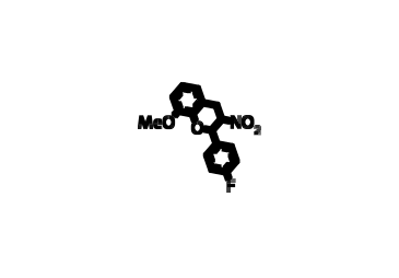 COc1cccc2c1OC(c1ccc(F)cc1)C([N+](=O)[O-])C2